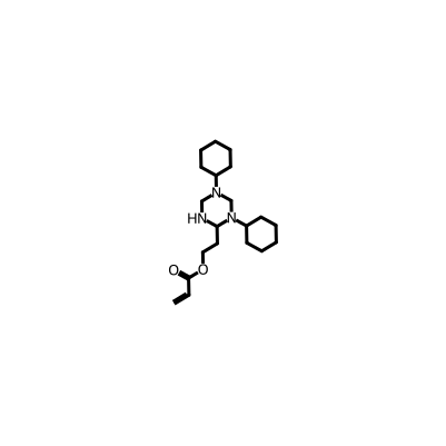 C=CC(=O)OCCC1NCN(C2CCCCC2)CN1C1CCCCC1